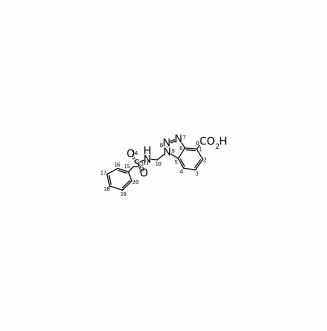 O=C(O)c1cccc2c1nnn2CNS(=O)(=O)c1ccccc1